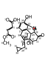 COC(=O)/C=C/C(=O)O.O=C1CC[C@@]2(O)[C@H]3Cc4ccc(O)c5c4[C@@]2(CCN3CC2CC2)[C@H]1O5